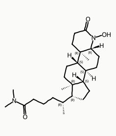 C[C@H](CCCC(=O)N(C)C)[C@H]1CC[C@H]2[C@@H]3CC[C@H]4N(O)C(=O)CC[C@]4(C)[C@H]3CC[C@]12C